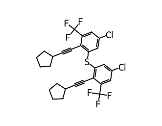 FC(F)(F)c1cc(Cl)cc(Sc2cc(Cl)cc(C(F)(F)F)c2C#CC2CCCC2)c1C#CC1CCCC1